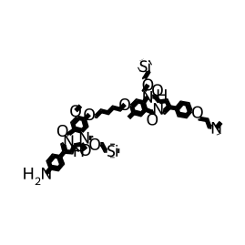 COc1cc2c(cc1OCCCCCOc1cc3c(cc1C)C(=O)N1C=C(c4ccc(OCCCN(C)C)cc4)C[C@H]1C(=O)N3COCC[Si](C)(C)C)N(COCC[Si](C)(C)C)C(=O)[C@@H]1CC(c3ccc(N)cc3)=CN1C2=O